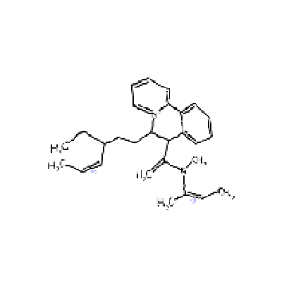 C=C(C1c2ccccc2-c2cccc[n+]2C1CCC(/C=C\C)CC)N(C)/C(C)=C\C